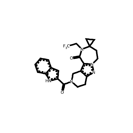 O=C(c1cc2ccccc2[nH]1)N1CCc2nn3c(c2C1)C(=O)N(CC(F)(F)F)C1(CC3)CC1